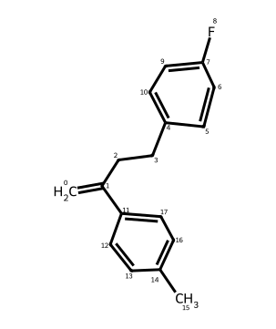 C=C(CCc1ccc(F)cc1)c1ccc(C)cc1